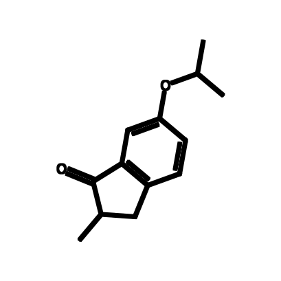 CC(C)Oc1ccc2c(c1)C(=O)C(C)C2